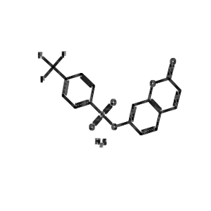 O=c1ccc2ccc(OS(=O)(=O)c3ccc(C(F)(F)F)cc3)cc2o1.S